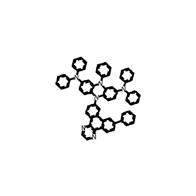 c1ccc(-c2ccc3c(c2)c2cc(N4c5ccc(N(c6ccccc6)c6ccccc6)cc5N(c5ccccc5)c5cc(N(c6ccccc6)c6ccccc6)ccc54)ccc2c2nccnc32)cc1